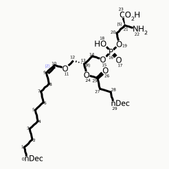 CCCCCCCCCCCCCCCCCC/C=C\OC[C@H](COP(=O)(O)OC[C@H](N)C(=O)O)OC(=O)CCCCCCCCCCCC